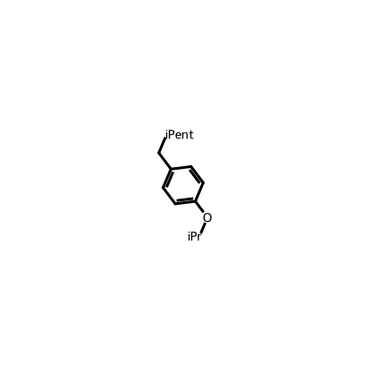 CCCC(C)Cc1ccc(OC(C)C)cc1